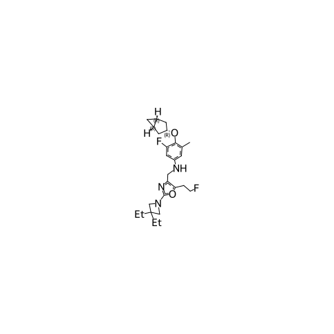 CCC1(CC)CN(c2nc(CNc3cc(C)c(O[C@@H]4C[C@@H]5C[C@@H]5C4)c(F)c3)c(CCF)o2)C1